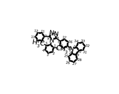 Cc1cccc(C)c1-n1c(-c2ccccc2)nnc1-c1ccc(-n2c3ccccc3c3ccccc32)cc1